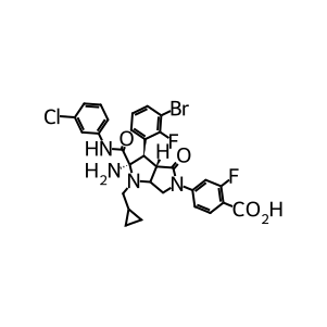 N[C@]1(C(=O)Nc2cccc(Cl)c2)[C@@H](c2cccc(Br)c2F)[C@@H]2C(=O)N(c3ccc(C(=O)O)c(F)c3)CC2N1CC1CC1